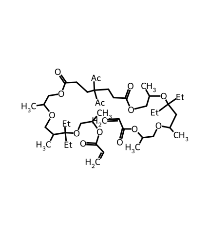 C=CC(=O)OC(C)COC(C)CC(CC)(CC)OC(C)COC(=O)CCC(CCC(=O)OCC(C)OCC(C)C(CC)(CC)OCC(C)OC(=O)C=C)(C(C)=O)C(C)=O